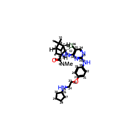 CNC(=O)[C@H]1C[C@H]2C[C@H](C2(C)C)[C@@]1(C)Nc1nc(Nc2ccc(OCCNC3CCCC3)cc2)ncc1Cl